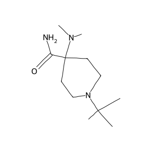 CN(C)C1(C(N)=O)CCN(C(C)(C)C)CC1